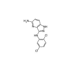 Nc1ccc2[nH]nc(Nc3cc(Cl)ccc3Cl)c2n1